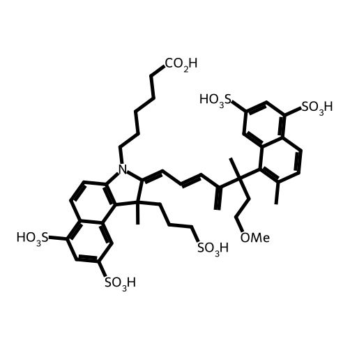 C=C(/C=C/C=C1/N(CCCCCC(=O)O)c2ccc3c(S(=O)(=O)O)cc(S(=O)(=O)O)cc3c2C1(C)CCCS(=O)(=O)O)C(C)(CCOC)c1c(C)ccc2c(S(=O)(=O)O)cc(S(=O)(=O)O)cc12